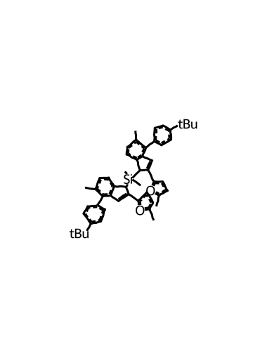 Cc1ccc(C2=Cc3c(ccc(C)c3-c3ccc(C(C)(C)C)cc3)C2[Si](C)(C)C2C(c3ccc(C)o3)=Cc3c2ccc(C)c3-c2ccc(C(C)(C)C)cc2)o1